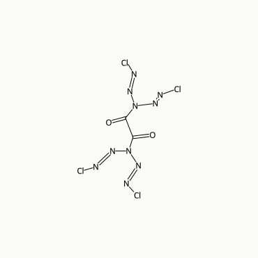 O=C(C(=O)N(N=NCl)N=NCl)N(N=NCl)N=NCl